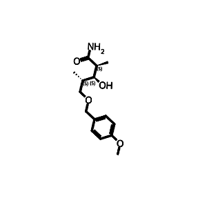 COc1ccc(COC[C@H](C)[C@H](O)[C@H](C)C(N)=O)cc1